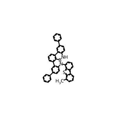 Cc1cccc2c1sc1c(N3B4Nc5ccc(-c6ccccc6)cc5-c5cccc(c54)-c4cc(-c5ccccc5)ccc43)cccc12